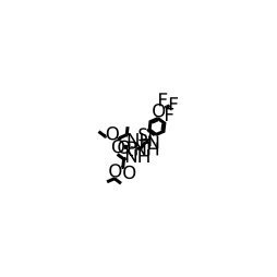 CCOC(=O)C(C)NP(=O)(Nc1nc2ccc(OC(F)(F)F)cc2s1)NC(C)C(=O)OC(C)C